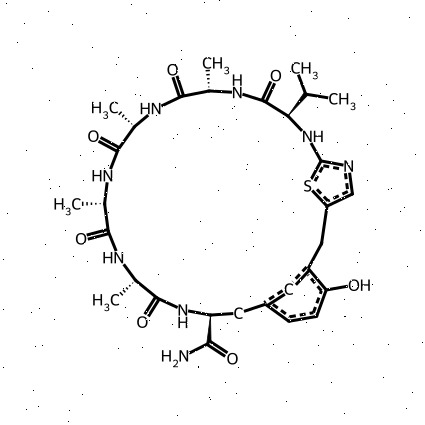 CC(C)[C@H]1Nc2ncc(s2)Cc2cc(ccc2O)C[C@@H](C(N)=O)NC(=O)[C@H](C)NC(=O)[C@H](C)NC(=O)[C@H](C)NC(=O)[C@H](C)NC1=O